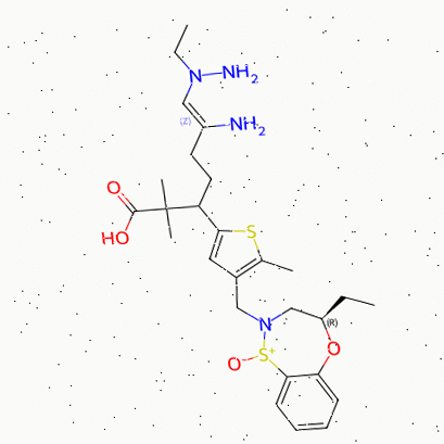 CC[C@@H]1CN(Cc2cc(C(CC/C(N)=C/N(N)CC)C(C)(C)C(=O)O)sc2C)[S+]([O-])c2ccccc2O1